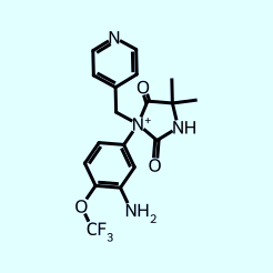 CC1(C)NC(=O)[N+](Cc2ccncc2)(c2ccc(OC(F)(F)F)c(N)c2)C1=O